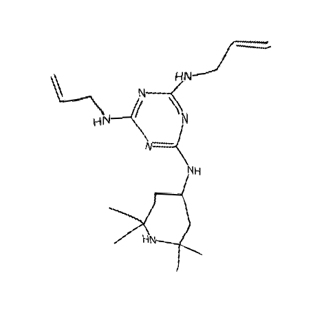 C=CCNc1nc(NCC=C)nc(NC2CC(C)(C)NC(C)(C)C2)n1